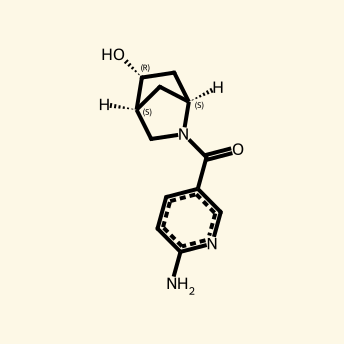 Nc1ccc(C(=O)N2C[C@@H]3C[C@H]2C[C@H]3O)cn1